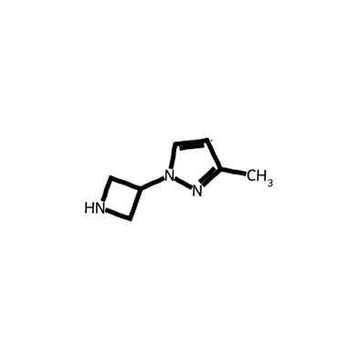 Cc1[c]cn(C2CNC2)n1